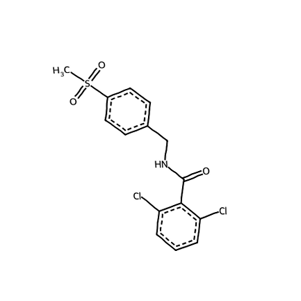 CS(=O)(=O)c1ccc(CNC(=O)c2c(Cl)cccc2Cl)cc1